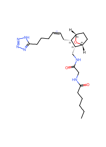 CCCCCC(=O)NCC(=O)NC[C@@H]1[C@H](C/C=C\CCCc2nnn[nH]2)[C@@H]2CC[C@H]1O2